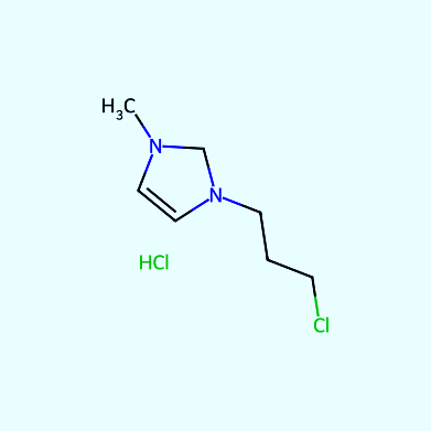 CN1C=CN(CCCCl)C1.Cl